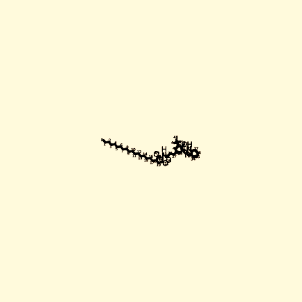 CCCCCCCCCCCCCCCCCCC1CC(=O)N(NC(=O)CCc2cc(-n3nc4ccccc4n3)c(O)c(C(C)(C)C)c2)C1=O